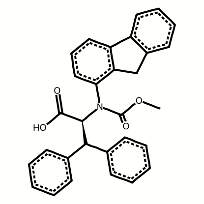 COC(=O)N(c1cccc2c1Cc1ccccc1-2)[C@H](C(=O)O)C(c1ccccc1)c1ccccc1